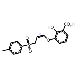 Cc1ccc(S(=O)(=O)C/C=C\Oc2cccc(C(=O)O)c2O)cc1